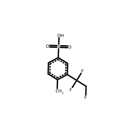 Cc1ccc(S(=O)(=O)O)cc1C(F)(F)CF